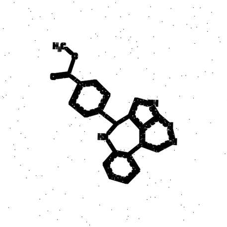 COC(=O)c1ccc(C2Nc3ccccc3-c3cnnc4[nH]cc2c34)cc1